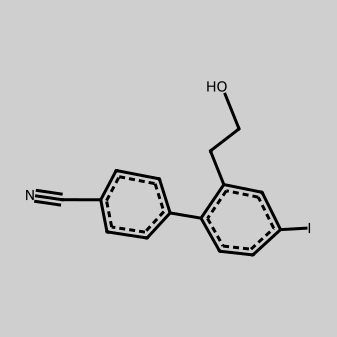 N#Cc1ccc(-c2ccc(I)cc2CCO)cc1